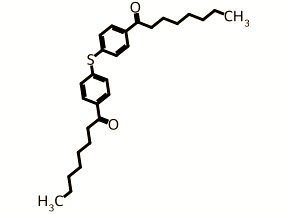 CCCCCCCC(=O)c1ccc(Sc2ccc(C(=O)CCCCCCC)cc2)cc1